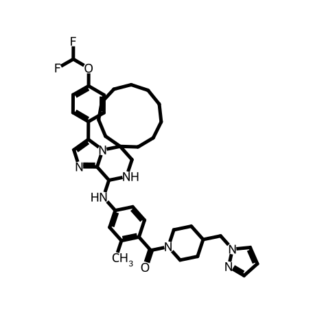 Cc1cc(NC2NCC3(CCCCCCCCCC3)n3c(-c4ccc(OC(F)F)cc4)cnc32)ccc1C(=O)N1CCC(Cn2cccn2)CC1